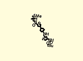 CSSC(C)(C)CNC(=O)c1cc(-c2ccc(NCc3cc(NC(=O)OC(C)(C)C)cn3C)cc2)cn1C